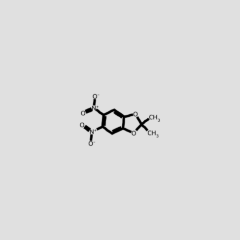 CC1(C)Oc2cc([N+](=O)[O-])c([N+](=O)[O-])cc2O1